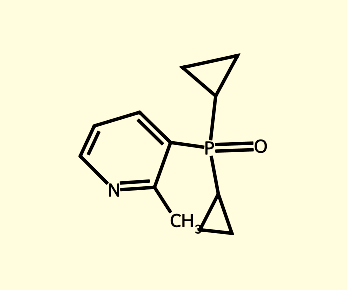 Cc1ncccc1P(=O)(C1CC1)C1CC1